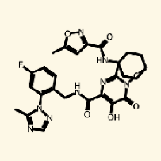 Cc1cc(C(=O)NC23CCC(CC2)Cn2c3nc(C(=O)NCc3ccc(F)cc3-n3ncnc3C)c(O)c2=O)no1